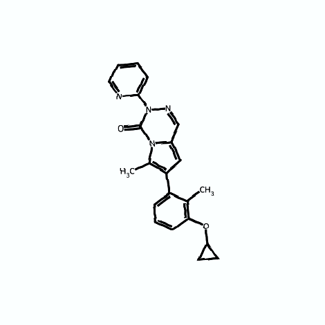 Cc1c(OC2CC2)cccc1-c1cc2cnn(-c3ccccn3)c(=O)n2c1C